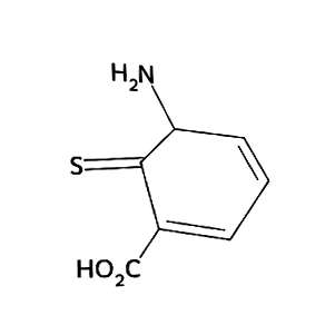 NC1C=CC=C(C(=O)O)C1=S